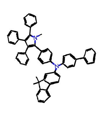 Cn1c(-c2ccccc2)c(-c2ccccc2)c(-c2ccccc2)c1-c1ccc(N(c2ccc(-c3ccccc3)cc2)c2ccc3c(c2)C(C)(C)c2ccccc2-3)cc1